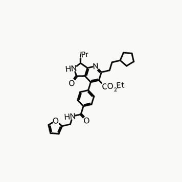 CCOC(=O)c1c(CCC2CCCC2)nc2c(c1-c1ccc(C(=O)NCc3ccco3)cc1)C(=O)NC2C(C)C